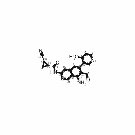 Cc1ccncc1-c1cc2cc(NC(=O)[C@@H]3C[C@H]3C#N)ncc2c(N)c1C=O